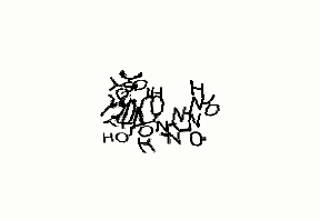 COc1nc(NC(C)=O)nc2c1ncn2[C@@H]1O[C@@H]2CO[Si](C(C)C)(C(C)C)O[Si](C(C)C)(C(C)C)O[C@H]2[C@@]1(O)CCO